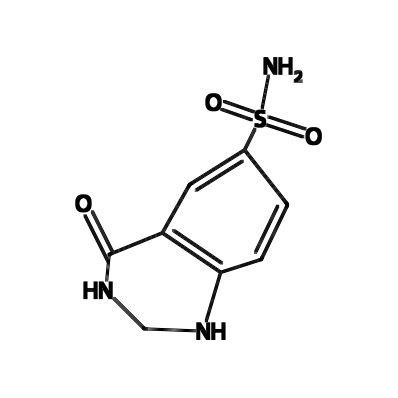 NS(=O)(=O)c1ccc2c(c1)C(=O)NCN2